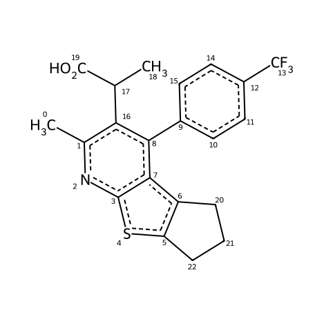 Cc1nc2sc3c(c2c(-c2ccc(C(F)(F)F)cc2)c1C(C)C(=O)O)CCC3